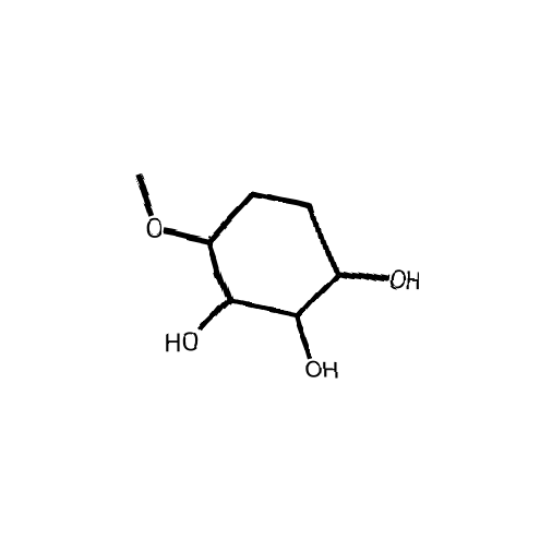 CO[C]1CCC(O)C(O)C1O